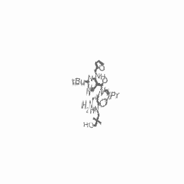 CC(C)CN(C(=O)c1cnc(C(C)(C)C)nc1NCc1ccco1)[C@@H](CN)C(=O)NCC(C)(C)CO